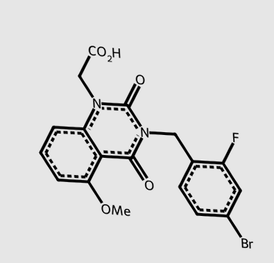 COc1cccc2c1c(=O)n(Cc1ccc(Br)cc1F)c(=O)n2CC(=O)O